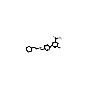 NC(=O)c1cc(F)cc(-c2ccc(CNCCC3CCCCC3)cn2)c1